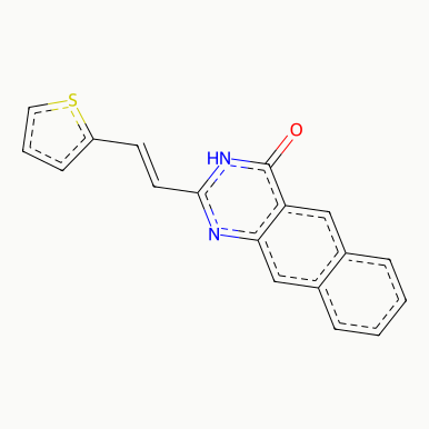 O=c1[nH]c(C=Cc2cccs2)nc2cc3ccccc3cc12